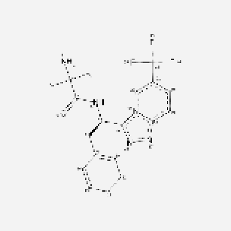 CC(C)(N)C(=O)N[C@H](CC1=CCCC=C1)c1nnc2ccc(C(F)(F)F)cn12